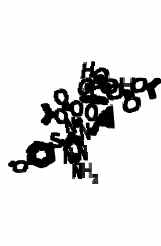 COc1ccc(Sc2nc(N)nc3c2ncn3CC2(OC(COC(=O)OC(C)C)(COC(=O)OC(C)C)P(=O)(O)O)CC2)cc1